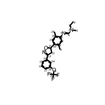 CCN(C)C=Nc1cc(C)c(C2CC(c3cccc(OC(F)(F)F)c3)=NO2)cc1C